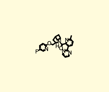 Cc1ccc(-c2ncccn2)c(C(=O)N2C3CC(C3)C[C@@H]2COc2ccc(F)cn2)n1